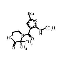 CC(C)(C)c1cc(C(=O)N2CCNC(=O)C2(C)C)c(NC(=O)O)s1